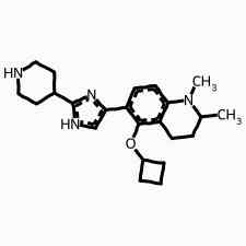 CC1CCc2c(ccc(-c3c[nH]c(C4CCNCC4)n3)c2OC2CCC2)N1C